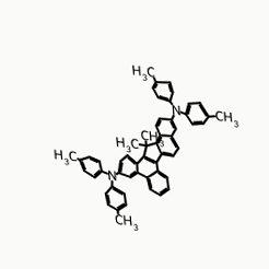 Cc1ccc(N(c2ccc(C)cc2)c2ccc3c4c(ccc3c2)-c2c(c3ccc(N(c5ccc(C)cc5)c5ccc(C)cc5)cc3c3ccccc23)C4(C)C)cc1